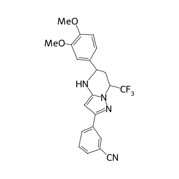 COc1ccc(C2CC(C(F)(F)F)n3nc(-c4cccc(C#N)c4)cc3N2)cc1OC